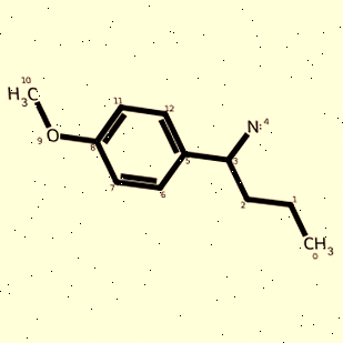 CCCC([N])c1ccc(OC)cc1